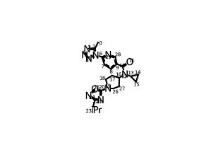 Cc1nnnn1-c1ccc(C(=O)N(C2CC2)C2CCN(c3nc(C(C)C)no3)CC2)cn1